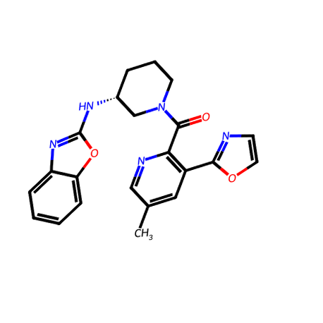 Cc1cnc(C(=O)N2CCC[C@@H](Nc3nc4ccccc4o3)C2)c(-c2ncco2)c1